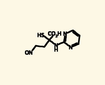 O=NCCC(S)(Nc1ncccn1)C(=O)O